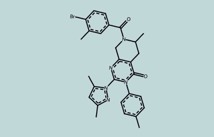 Cc1ccc(-n2c(-n3nc(C)cc3C)nc3c(c2=O)CC(C)N(C(=O)c2ccc(Br)c(C)c2)C3)cc1